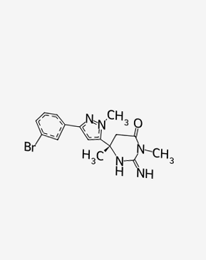 CN1C(=N)N[C@](C)(c2cc(-c3cccc(Br)c3)nn2C)CC1=O